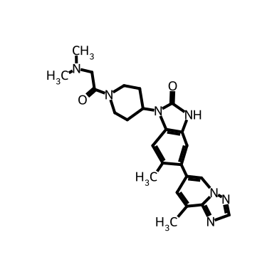 Cc1cc2c(cc1-c1cc(C)c3ncnn3c1)[nH]c(=O)n2C1CCN(C(=O)CN(C)C)CC1